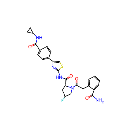 NC(=O)c1ccccc1[CH]C(=O)N1C[C@@H](F)C[C@H]1C(=O)Nc1nc(-c2ccc(C(=O)NC3CC3)cc2)cs1